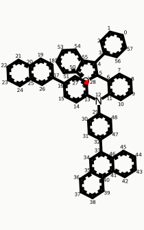 c1ccc(-c2c(-c3ccccc3N(c3ccc(-c4ccc5ccccc5c4)cc3)c3ccc(-c4cc5ccccc5c5ccccc45)cc3)oc3ccccc23)cc1